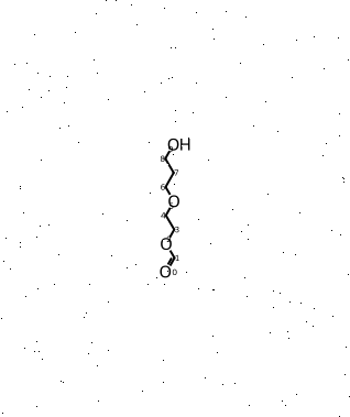 O=COCCOCCCO